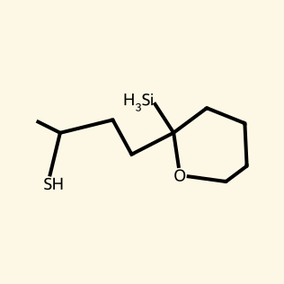 CC(S)CCC1([SiH3])CCCCO1